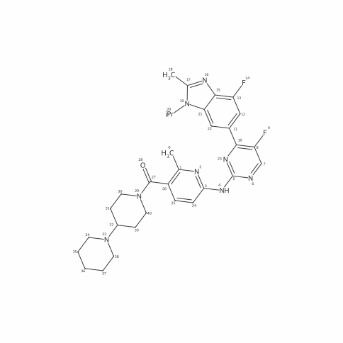 Cc1nc(Nc2ncc(F)c(-c3cc(F)c4nc(C)n(C(C)C)c4c3)n2)ccc1C(=O)N1CCC(N2CCCCC2)CC1